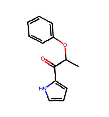 CC(Oc1ccccc1)C(=O)c1ccc[nH]1